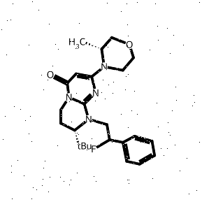 C[C@@H]1COCCN1c1cc(=O)n2c(n1)N(CC(F)c1ccccc1)[C@H](C(C)(C)C)CC2